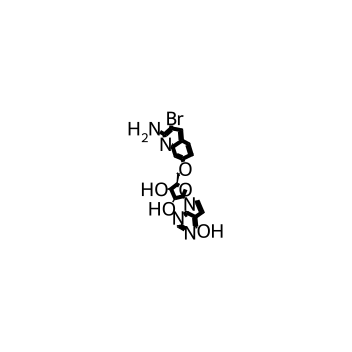 Nc1nc2cc(OC[C@H]3O[C@@H](n4ccc5c(O)ncnc54)[C@H](O)[C@@H]3O)ccc2cc1Br